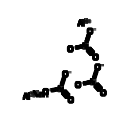 O=[Si]([O-])[O-].O=[Si]([O-])[O-].O=[Si]([O-])[O-].[Al+3].[Al+3].[NaH]